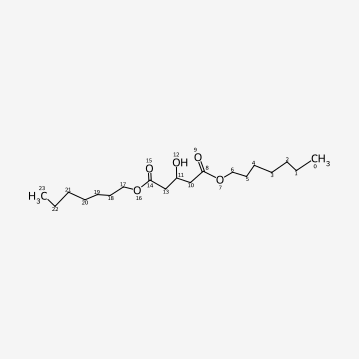 CCCCCCCOC(=O)CC(O)CC(=O)OCCCCCCC